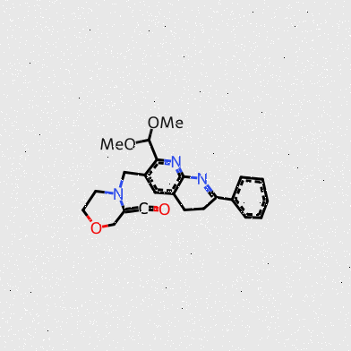 COC(OC)c1nc2c(cc1CN1CCOCC1=C=O)CCC(c1ccccc1)=N2